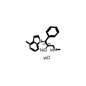 CNC[C@@H](O)[C@H](c1ccccc1)n1ccc2c(C)cccc21.Cl